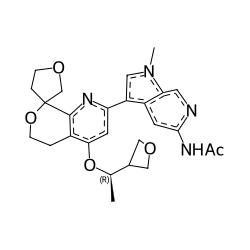 CC(=O)Nc1cc2c(-c3cc(O[C@H](C)C4COC4)c4c(n3)C3(CCOC3)OCC4)cn(C)c2cn1